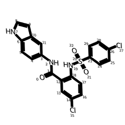 O=C(Nc1ccc2[nH]ccc2c1)c1cc(Cl)ccc1NS(=O)(=O)c1ccc(Cl)cc1